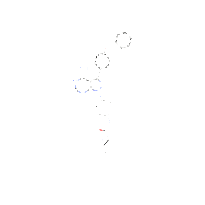 COC/C=C/C(=O)N[C@H]1CC[C@@H](n2nc(-c3ccc(Oc4ccccc4)cc3)c3c(N)ncnc32)CC1